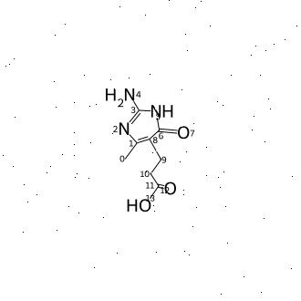 Cc1nc(N)[nH]c(=O)c1CCC(=O)O